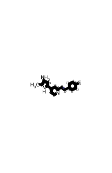 Cc1[nH]c(-c2ccnc(/C=C/c3ccc(F)cc3)c2)cc1N